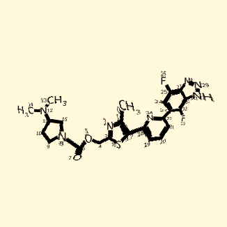 Cc1nc(COC(=O)N2CCC(N(C)C)C2)sc1-c1cccc(-c2cc(F)c3nn[nH]c3c2F)n1